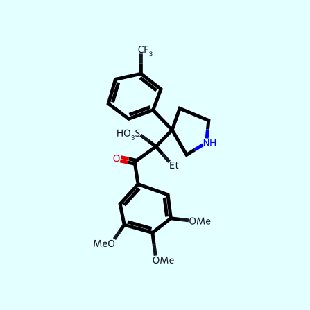 CCC(C(=O)c1cc(OC)c(OC)c(OC)c1)(C1(c2cccc(C(F)(F)F)c2)CCNC1)S(=O)(=O)O